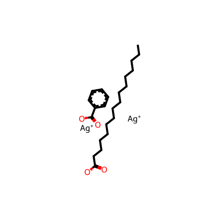 CCCCCCCCCCCCCCCC(=O)[O-].O=C([O-])c1ccccc1.[Ag+].[Ag+]